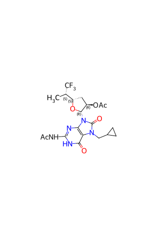 CC(=O)Nc1nc2c(c(=O)[nH]1)n(CC1CC1)c(=O)n2[C@@H]1O[C@H]([C@H](C)C(F)(F)F)C[C@H]1OC(C)=O